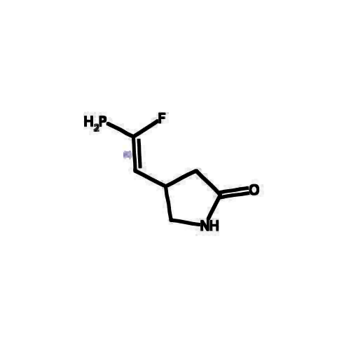 O=C1CC(/C=C(\F)P)CN1